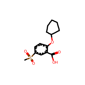 CS(=O)(=O)c1ccc(OC2CCCCC2)c(C(=O)O)c1